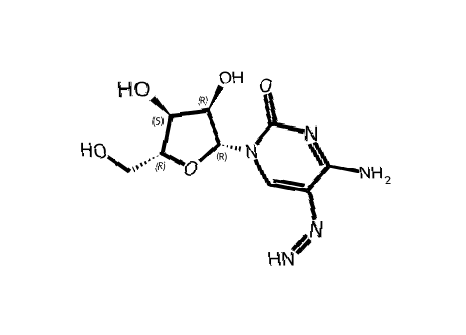 N=Nc1cn([C@@H]2O[C@H](CO)[C@@H](O)[C@H]2O)c(=O)nc1N